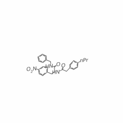 CCCc1ccc(CC(=O)NC(Cc2ccc([N+](=O)[O-])cc2)C(=O)NCc2ccccc2)cc1